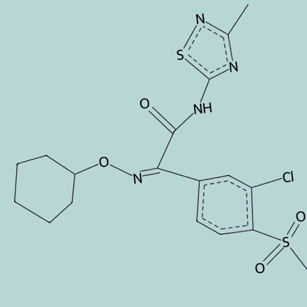 Cc1nsc(NC(=O)C(=NOC2CCCCC2)c2ccc(S(C)(=O)=O)c(Cl)c2)n1